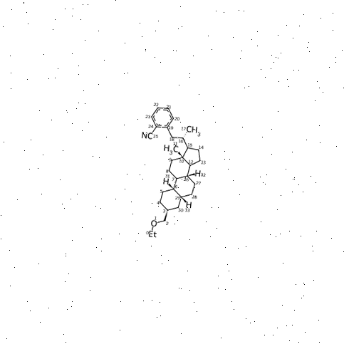 CCOC[C@H]1CC[C@@H]2C3CC[C@@]4(C)C(CCC4[C@@H](C)Cc4ccccc4C#N)[C@@H]3CC[C@@H]2C1